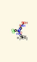 CC(C)(C)[C@H]1CC[C@@H](NC(=O)c2cc(-c3ccc(Cl)c(Cl)c3)nn2Cc2ccc(C(=O)NCCC(=O)O)cn2)CC1